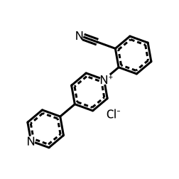 N#Cc1ccccc1-[n+]1ccc(-c2ccncc2)cc1.[Cl-]